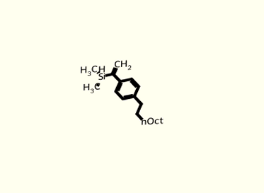 C=C(c1ccc(CCCCCCCCCC)cc1)[SiH](C)C